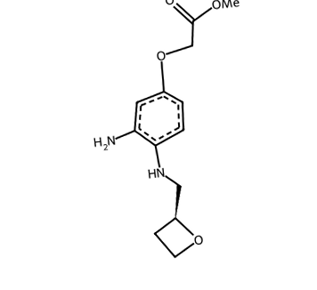 COC(=O)COc1ccc(NC[C@@H]2CCO2)c(N)c1